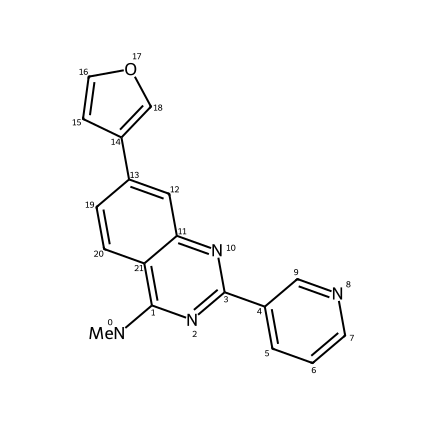 CNc1nc(-c2cccnc2)nc2cc(-c3ccoc3)ccc12